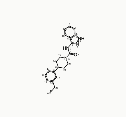 O=C(Nc1n[nH]c2ccccc12)N1CCC(c2cccc(CF)c2)CC1